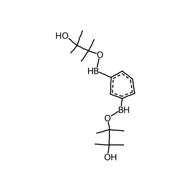 CC(C)(O)C(C)(C)OBc1cccc(BOC(C)(C)C(C)(C)O)c1